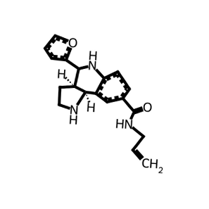 C=CCNC(=O)c1ccc2c(c1)[C@H]1NCC[C@H]1C(c1ccco1)N2